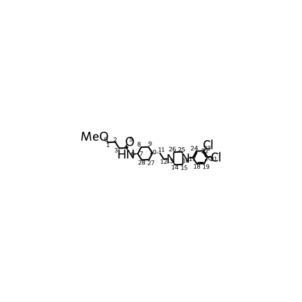 COCCCC(=O)N[C@H]1CC[C@H](CCN2CCN(c3ccc(Cl)c(Cl)c3)CC2)CC1